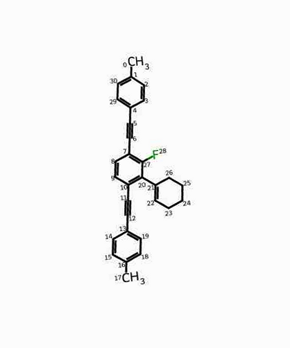 Cc1ccc(C#Cc2ccc(C#Cc3ccc(C)cc3)c(C3=CCCCC3)c2F)cc1